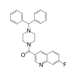 O=C(c1cnc2cc(F)ccc2c1)N1CCN(C(c2ccccc2)c2ccccc2)CC1